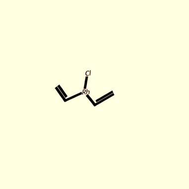 C=[CH][Rh]([Cl])[CH]=C